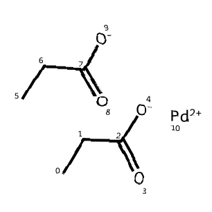 CCC(=O)[O-].CCC(=O)[O-].[Pd+2]